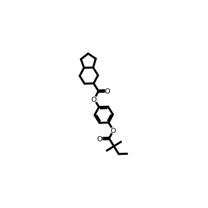 CCC(C)(C)C(=O)Oc1ccc(OC(=O)C2CCC3CCCC3C2)cc1